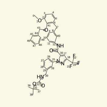 COc1cccc([CH]c2cccc(NC(=O)c3cc(C(F)(F)F)nn3-c3cccc(CNC(=O)OC(C)(C)C)c3)c2)c1OCc1ccccc1